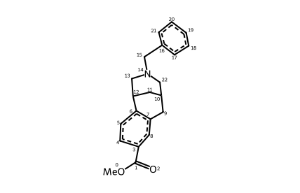 COC(=O)c1ccc2c(c1)CC1CC2CN(Cc2ccccc2)C1